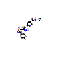 O=C(NCC1CC1)c1ccc(-n2cnc(-c3c(-c4ccc(F)cc4)noc3C(F)(F)F)c2)nc1